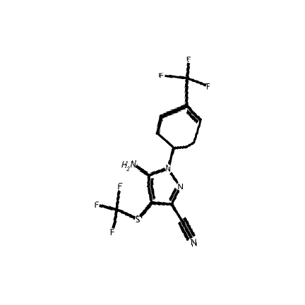 N#Cc1nn(C2CC=C(C(F)(F)F)CC2)c(N)c1SC(F)(F)F